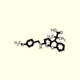 COc1ccc(CNc2ccc3c(n2)Oc2ccccc2C3C(C)(C)C(=O)O)cc1